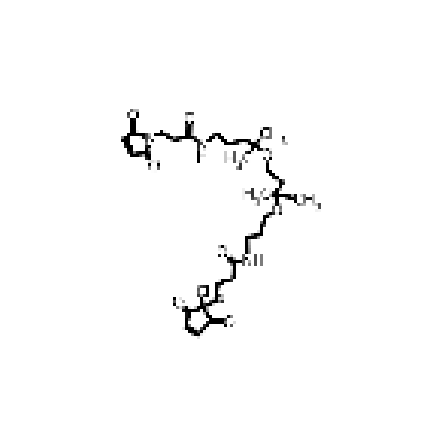 CC(C)(CCCNC(=O)CCN1C(=O)C=CC1=O)OCCC(C)(C)OCCCNC(=O)CCCC1(C)C(=O)C=CC1=O